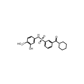 O=C(O)c1ccc(NS(=O)(=O)c2cccc(C(=O)N3CCCCC3)c2)cc1O